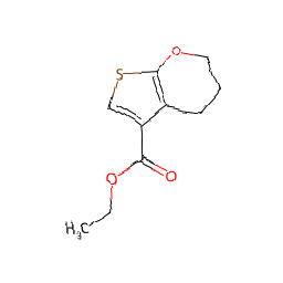 CCOC(=O)c1csc2c1CCCO2